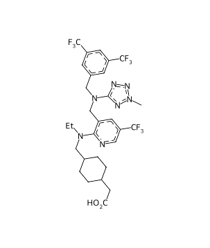 CCN(CC1CCC(CC(=O)O)CC1)c1ncc(C(F)(F)F)cc1CN(Cc1cc(C(F)(F)F)cc(C(F)(F)F)c1)c1nnn(C)n1